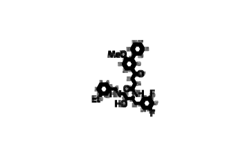 CCc1cccc(CNC[C@@H](O)[C@H](Cc2cc(F)cc(F)c2)NC(=O)CCC(=O)c2ccc(OC)c(-c3ccccc3)c2)c1